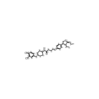 CCN=C1SCC(c2ccc(OCCCC(=O)NC3CCN(Cc4ccc(Cl)c(Cl)c4)CC3)cc2)N1CC